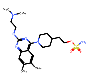 COc1cc2nc(NCCN(OC)OC)nc(N3CCC(CCOS(N)(=O)=O)CC3)c2cc1OC